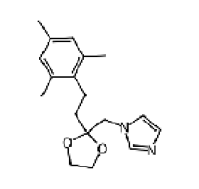 Cc1cc(C)c(CCC2(Cn3ccnc3)OCCO2)c(C)c1